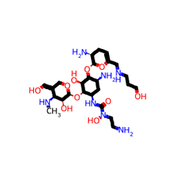 CN[C@H]1/C(=C\O)CO[C@H](O[C@H]2[C@H](NC(=O)N(O)CCN)C[C@H](N)C(O[C@H]3OC(CNCCCO)=CC[C@H]3N)[C@@H]2O)[C@@H]1O